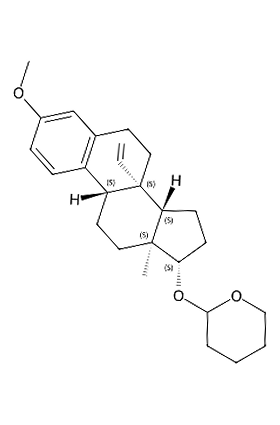 C=C[C@@]12CCc3cc(OC)ccc3[C@H]1CC[C@]1(C)[C@@H](OC3CCCCO3)CC[C@H]12